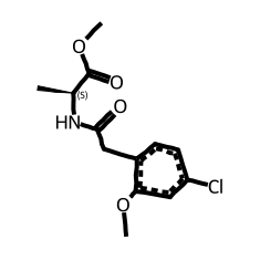 COC(=O)[C@H](C)NC(=O)Cc1ccc(Cl)cc1OC